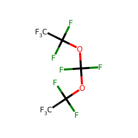 FC(F)(OC(F)(F)C(F)(F)F)OC(F)(F)C(F)(F)F